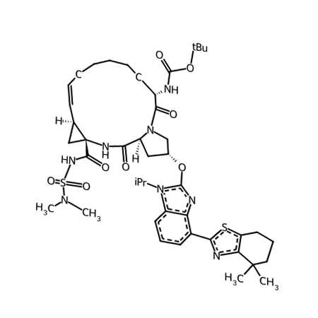 CC(C)n1c(O[C@@H]2C[C@H]3C(=O)N[C@]4(C(=O)NS(=O)(=O)N(C)C)C[C@H]4/C=C\CCCCC[C@H](NC(=O)OC(C)(C)C)C(=O)N3C2)nc2c(-c3nc4c(s3)CCCC4(C)C)cccc21